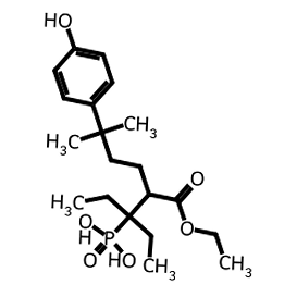 CCOC(=O)C(CCC(C)(C)c1ccc(O)cc1)C(CC)(CC)P(=O)(O)O